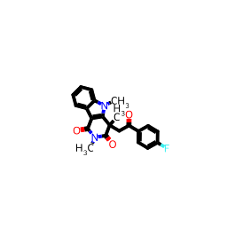 CN1C(=O)c2c(n(C)c3ccccc23)C(C)(CC(=O)c2ccc(F)cc2)C1=O